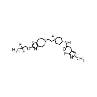 Cn1cc(CC(=O)N[C@H]2CC[C@](F)(CCN3CCc4nc(OCC(C)(F)F)sc4CC3)CC2)c(F)n1